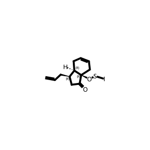 C=CC[C@@H]1CC(=O)[C@@]2(OSI)CC=CC[C@H]12